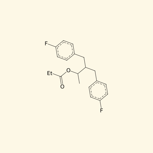 CCC(=O)OC(C)C(Cc1ccc(F)cc1)Cc1ccc(F)cc1